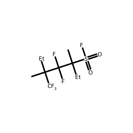 CCC(C)(C(F)(F)F)C(F)(F)C(C)(CC)S(=O)(=O)F